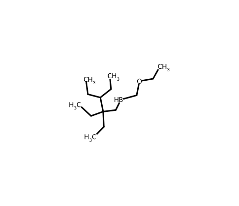 CCOCBCC(CC)(CC)C(CC)CC